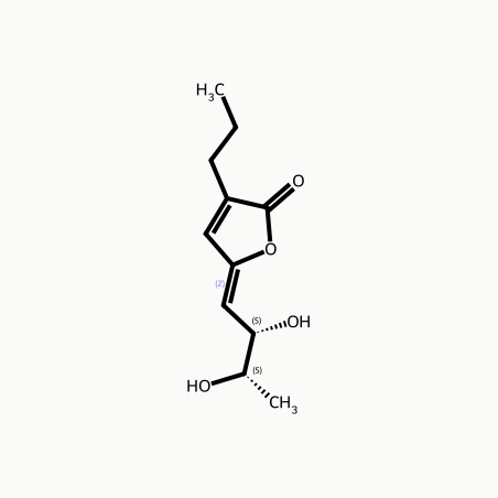 CCCC1=C/C(=C/[C@H](O)[C@H](C)O)OC1=O